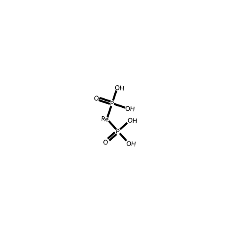 O=[P](O)(O)[Re][P](=O)(O)O